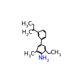 C=C(CC)c1cccc(-c2cc(C)c(N)c(CC)c2)c1